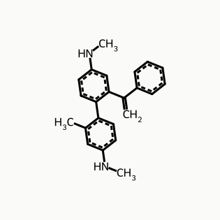 C=C(c1ccccc1)c1cc(NC)ccc1-c1ccc(NC)cc1C